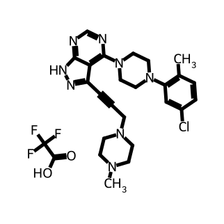 Cc1ccc(Cl)cc1N1CCN(c2ncnc3[nH]nc(C#CCN4CCN(C)CC4)c23)CC1.O=C(O)C(F)(F)F